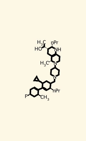 CCC[C@H]1C=C(C2=CC[C@H](F)C[C@@H]2C)C(C2CC2)CC1CN1CCC(N2CCC3=C(C[C@H](C(C)O)[C@H](CCC)N3)[C@H]2C)CC1